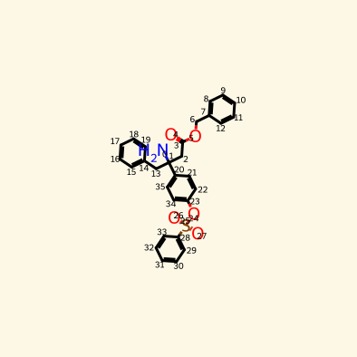 NC(CC(=O)OCc1ccccc1)(Cc1ccccc1)c1ccc(OS(=O)(=O)c2ccccc2)cc1